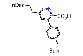 CCCCCCCCCCCCc1cnc(C(=O)O)c(-c2ccc(C[C@@H](C)CC)cc2)c1